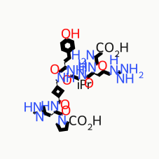 CC(C)[C@H](NC(=O)[C@H](CCCNC(=N)N)NC(=O)[C@@H](N)CC(=O)O)C(=O)N[C@@H](CCc1ccc(O)cc1)C(=O)NC[C@H]1C[C@@H](C(=O)N[C@@H](Cc2c[nH]cn2)C(=O)N2CCC[C@H]2C(=O)O)C1